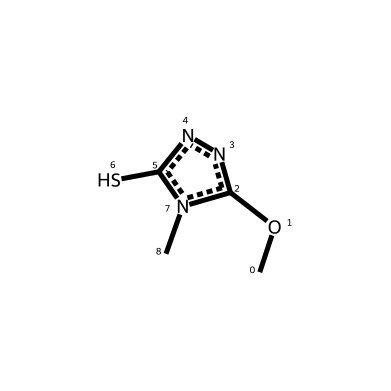 COc1nnc(S)n1C